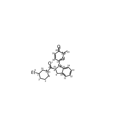 CCC1CCCN(C(=O)[C@@H]2Cc3ccccc3N2c2ccc(=O)n(C)n2)C1